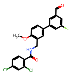 COc1ccc(-c2cc(F)cc(C=O)c2)cc1CNC(=O)c1ccc(Cl)cc1Cl